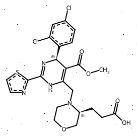 COC(=O)C1=C(CN2CCOC[C@@H]2CCC(=O)O)NC(c2nccs2)=N[C@H]1c1ccc(Cl)cc1Cl